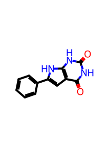 O=c1[nH]c(=O)c2cc(-c3ccccc3)[nH]c2[nH]1